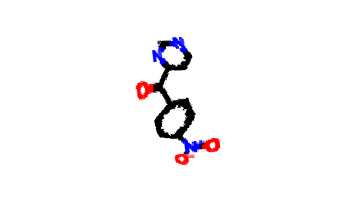 O=C(c1ccc([N+](=O)[O-])cc1)c1ccn[c]n1